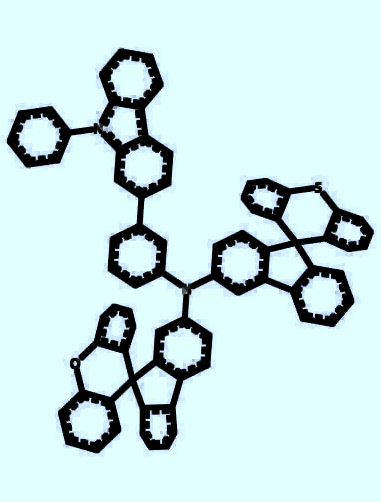 c1ccc(-n2c3ccccc3c3ccc(-c4cccc(N(c5ccc6c(c5)-c5ccccc5C65c6ccccc6Sc6ccccc65)c5ccc6c(c5)C5(c7ccccc7Oc7ccccc75)c5ccccc5-6)c4)cc32)cc1